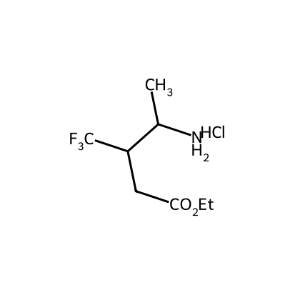 CCOC(=O)CC(C(C)N)C(F)(F)F.Cl